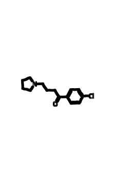 O=C(CCCN1CCCC1)c1ccc(Cl)cc1